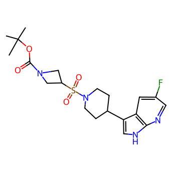 CC(C)(C)OC(=O)N1CC(S(=O)(=O)N2CCC(c3c[nH]c4ncc(F)cc34)CC2)C1